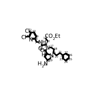 CCOC(=O)CC[C@H](C(=O)NCc1ccc(Cl)c(Cl)n1)N1CCC(CCc2ccccc2)N2C[C@H](N)C[C@H]2C1=O